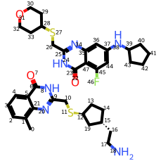 Cc1cccc2c(=O)[nH]c(CS[C@H]3CC[C@H](CCN)C3)nc12.O=c1[nH]c(CSC2CCOCC2)nc2cc(NC3CCCC3)cc(F)c12